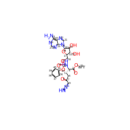 CC(C)OC(=O)[C@H](CCC(=O)C=[N+]=N)NP(=O)(OC[C@H]1O[C@@H](n2cnc3c(N)ncnc32)[C@@H](O)[C@@H]1O)Oc1ccccc1